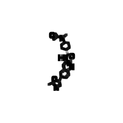 Cc1ncc(-c2ccc3nnc(NC(=O)[C@H]4CC[C@H](N(C)C5COC5)CC4)cc3c2)o1